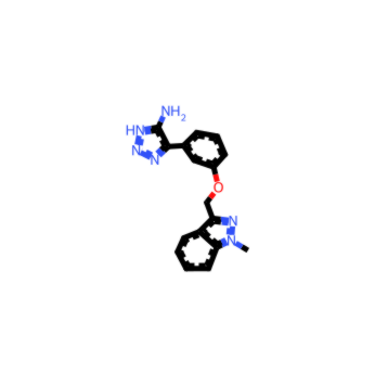 Cn1nc(COc2cccc(-c3nn[nH]c3N)c2)c2ccccc21